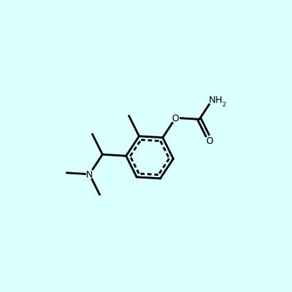 Cc1c(OC(N)=O)cccc1C(C)N(C)C